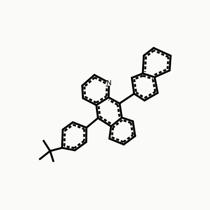 CC(C)(C)c1ccc(-c2c3ccccc3c(-c3ccc4ccccc4c3)c3ncccc23)cc1